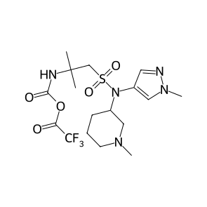 CN1CCCC(N(c2cnn(C)c2)S(=O)(=O)CC(C)(C)NC(=O)OC(=O)C(F)(F)F)C1